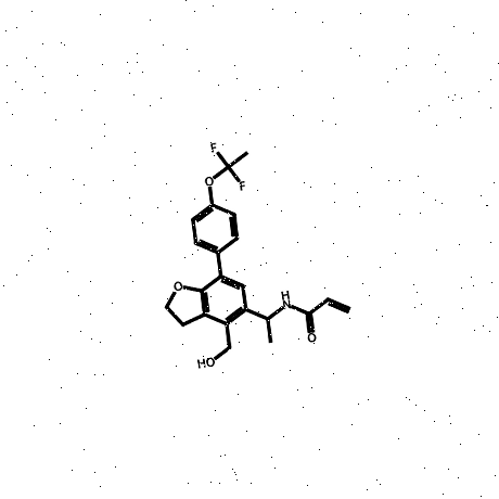 C=CC(=O)NC(C)c1cc(-c2ccc(OC(C)(F)F)cc2)c2c(c1CO)CCO2